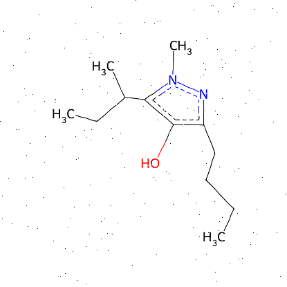 CCCCc1nn(C)c(C(C)CC)c1O